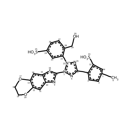 Cc1ccc(-c2nn(-c3nc4cc5c(cc4s3)OCCO5)[n+](-c3cc(S(=O)(=O)O)ccc3CO)n2)c(S(=O)(=O)O)c1